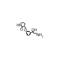 NCC[C@@H](O)c1cccc(OCC2CCCNC2=O)c1